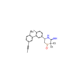 CC#Cc1ccc(C(C)CC)c(-c2cc(C3C[S+]([O-])C(CC)(CC)C(=N)N3)ccc2C)c1